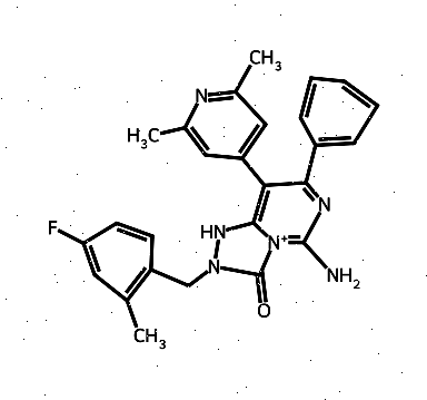 Cc1cc(-c2c(-c3ccccc3)nc(N)[n+]3c(=O)n(Cc4ccc(F)cc4C)[nH]c23)cc(C)n1